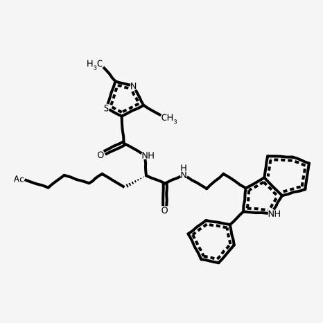 CC(=O)CCCCC[C@H](NC(=O)c1sc(C)nc1C)C(=O)NCCc1c(-c2ccccc2)[nH]c2ccccc12